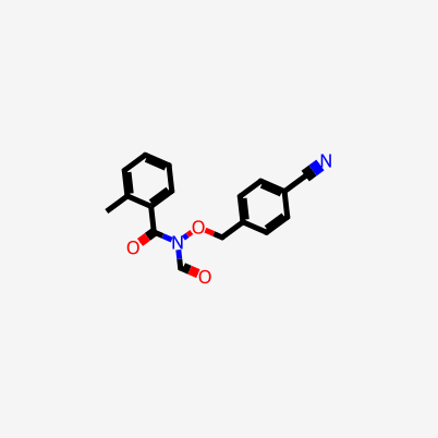 Cc1ccccc1C(=O)N(C=O)OCc1ccc(C#N)cc1